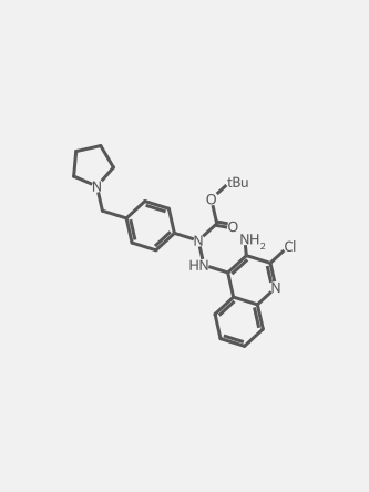 CC(C)(C)OC(=O)N(Nc1c(N)c(Cl)nc2ccccc12)c1ccc(CN2CCCC2)cc1